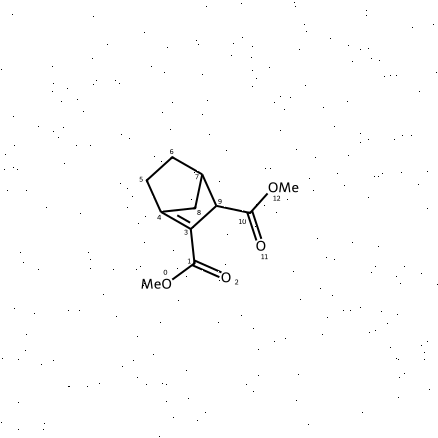 COC(=O)C1=C2CCC(C2)C1C(=O)OC